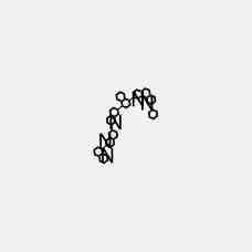 c1ccc(-c2ccc3ccc4ccc(-c5ccc(-c6ccc7ccc(-c8ccc9ccc(-c%10cccc%11cccnc%10%11)nc9c8)nc7c6)c6ccccc56)nc4c3n2)cc1